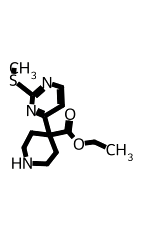 CCOC(=O)C1(c2ccnc(SC)n2)CCNCC1